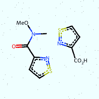 CON(C)C(=O)c1ccsn1.O=C(O)c1ccsn1